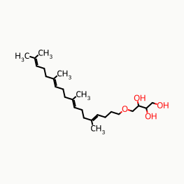 CC(C)=CCC/C(C)=C/CC/C(C)=C/CCC(C)=CCCCOCC(O)C(O)CO